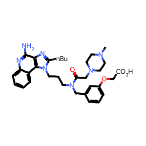 CCCCc1nc2c(N)nc3ccccc3c2n1CCCN(Cc1cccc(OCC(=O)O)c1)C(=O)CN1CCN(C)CC1